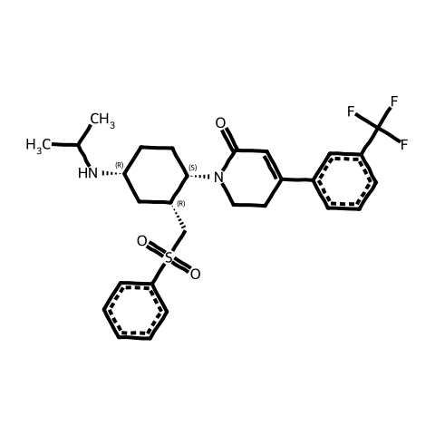 CC(C)N[C@@H]1CC[C@H](N2CCC(c3cccc(C(F)(F)F)c3)=CC2=O)[C@H](CS(=O)(=O)c2ccccc2)C1